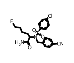 N#Cc1ccc(CN(C(CCCCF)C(N)=O)S(=O)(=O)c2ccc(Cl)cc2)cc1